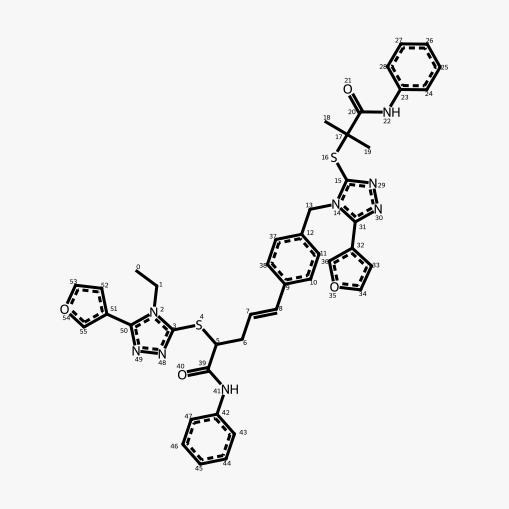 CCn1c(SC(C/C=C/c2ccc(Cn3c(SC(C)(C)C(=O)Nc4ccccc4)nnc3-c3ccoc3)cc2)C(=O)Nc2ccccc2)nnc1-c1ccoc1